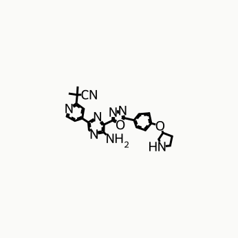 CC(C)(C#N)c1cc(-c2cnc(N)c(-c3nnc(-c4ccc(OC5CCNC5)cc4)o3)n2)ccn1